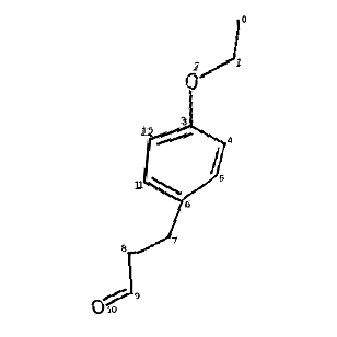 CCOc1ccc(CCC=O)cc1